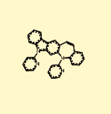 C1=Cc2cc3c4ccccc4n(-c4ccccn4)c3cc2N(c2ccccn2)c2ccccc21